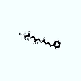 C[C@@H](N)C(=O)OCC(O)COC(=O)CCCc1ccccc1